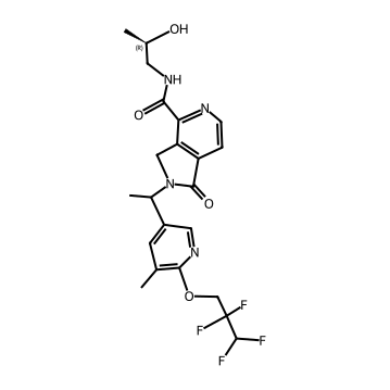 Cc1cc(C(C)N2Cc3c(ccnc3C(=O)NC[C@@H](C)O)C2=O)cnc1OCC(F)(F)C(F)F